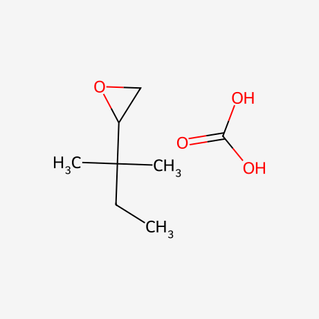 CCC(C)(C)C1CO1.O=C(O)O